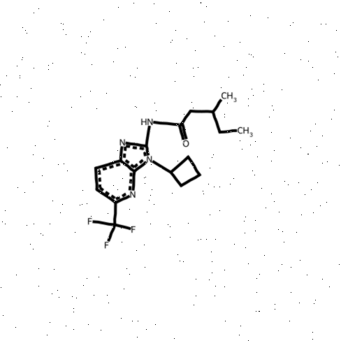 CCC(C)CC(=O)Nc1nc2ccc(C(F)(F)F)nc2n1C1CCC1